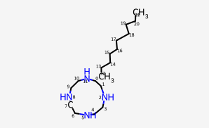 C1CNCCNCCNCCN1.CCCCCCCCCC